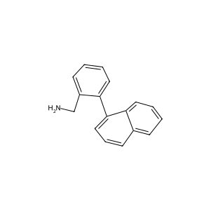 NCc1ccccc1-c1cccc2ccccc12